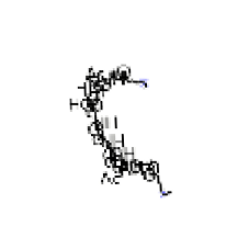 C/C=C\CCCC(=O)O[C@H](C)CCOC[C@H](COP(=O)(O)OCCNC(=O)CC(=O)NCCOP(=O)(O)OC[C@H](COCC[C@@H](C)OC(=O)CCC/C=C\C)NC(=O)CC(C)=O)NC(=O)CC(C)=O